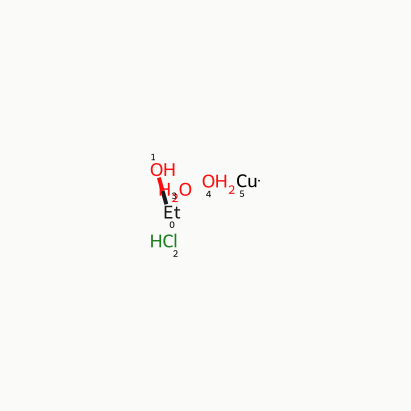 CCO.Cl.O.O.[Cu]